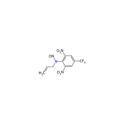 C=CCN(N=O)c1c([N+](=O)[O-])cc(C(F)(F)F)cc1[N+](=O)[O-]